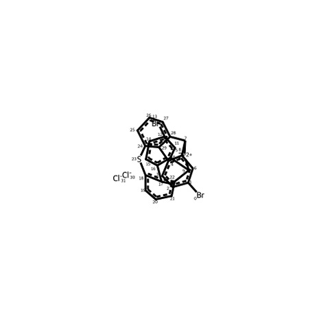 Brc1ccc2c(c1)[CH]1[Zr+2][CH]3c4cc(Br)ccc4-c4c(cccc43)Sc3cccc1c3-2.[Cl-].[Cl-]